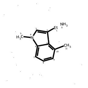 N.[CH2]Cc1cn(C)c2cccc(C)c12